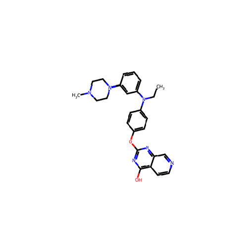 CCN(c1ccc(Oc2nc(O)c3ccncc3n2)cc1)c1cccc(N2CCN(C)CC2)c1